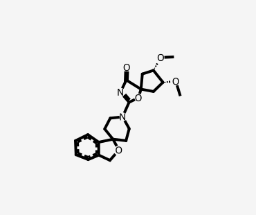 CO[C@H]1CC2(C[C@H]1OC)OC(N1CCC3(CC1)OCc1ccccc13)=NC2=O